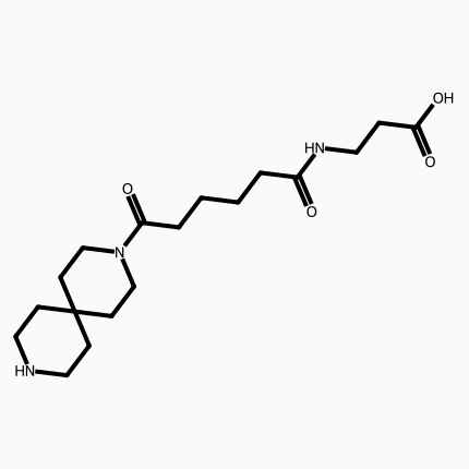 O=C(O)CCNC(=O)CCCCC(=O)N1CCC2(CCNCC2)CC1